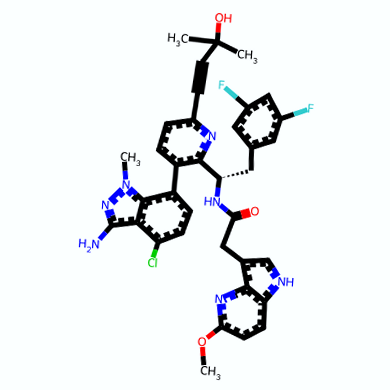 COc1ccc2[nH]cc(CC(=O)N[C@@H](Cc3cc(F)cc(F)c3)c3nc(C#CC(C)(C)O)ccc3-c3ccc(Cl)c4c(N)nn(C)c34)c2n1